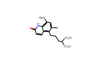 CCOC(=O)C(CCCc1c(C)cc(OC)c2[nH]c(=O)ccc12)C(=O)OCC